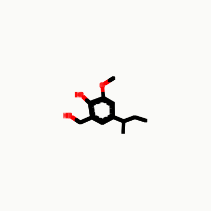 CCC(C)c1cc(CO)c(O)c(OC)c1